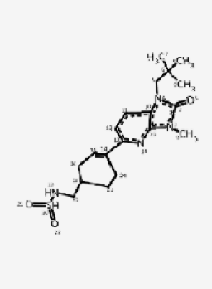 Cn1c(=O)n(CC(C)(C)C)c2ccc(C3=CCC(CN[SH](=O)=O)CC3)nc21